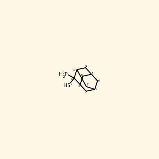 PC1(S)C2CC3CC(C2)CC1C3